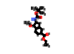 CCOC(=O)c1ccc2c(c1)CC(NC(=O)OC(C)(C)C)C2OC